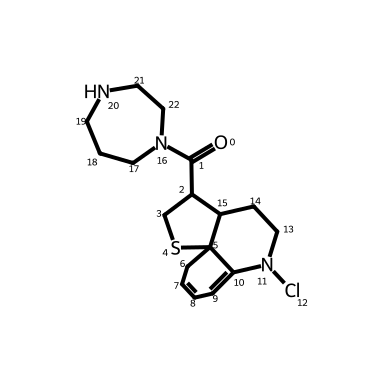 O=C(C1CSC23CC=CC=C2N(Cl)CCC13)N1CCCNCC1